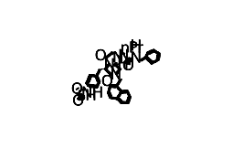 CCCN(C(=O)NCc1ccccc1)N1CC(=O)N2[C@@H](Cc3ccc(N[SH](=O)=O)cc3)C(=O)N(Cc3cccc4ccccc34)C[C@@H]21